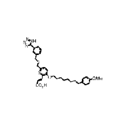 COc1ccc(CCCCCCCCOc2ccc(CSCc3cccc(-c4nnn[nH]4)c3)nc2C=CC(=O)O)cc1